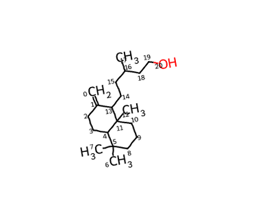 C=C1CCC2C(C)(C)CCCC2(C)C1CCC(C)CCO